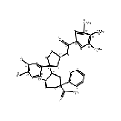 CCN1CCC(C(N)=O)(c2ccccc2)CC1C1(c2ccc(Cl)c(Cl)c2)CCN(CC(=O)c2cc(OC)c(OC)c(OC)c2)C1